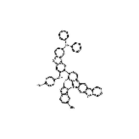 CC(C)(C)c1ccc(Nc2cc3sc4ccc(N(c5ccccc5)c5ccccc5)cc4c3cc2-c2ccc3c4cc5c(cc4n4c3c2Bc2sc3ccc(C(C)(C)C)cc3c2-4)oc2ccccc25)cc1